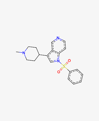 CN1CCC(c2cn(S(=O)(=O)c3ccccc3)c3ccncc23)CC1